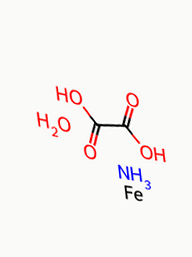 N.O.O=C(O)C(=O)O.[Fe]